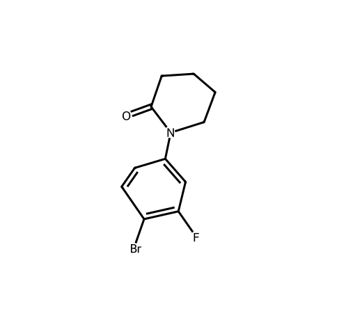 O=C1CCCCN1c1ccc(Br)c(F)c1